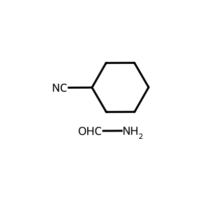 N#CC1CCCCC1.NC=O